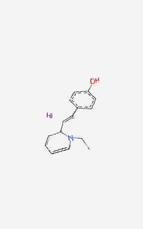 CCN1C=CC=CC1C=Cc1ccc(O)cc1.I